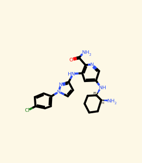 NC(=O)c1ncc(N[C@@H]2CCCC[C@@H]2N)cc1Nc1ccn(-c2ccc(Cl)cc2)n1